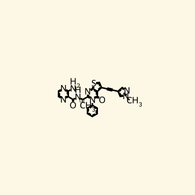 C[C@H](NC(=O)c1nccnc1N)c1nc2scc(C#Cc3cnn(C)c3)c2c(=O)n1-c1ccccc1